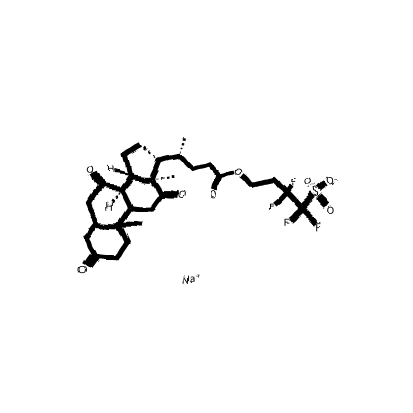 C[C@H](CCC(=O)OCCC(F)(F)C(F)(F)S(=O)(=O)[O-])[C@H]1CC[C@H]2[C@@H]3C(=O)CC4CC(=O)CCC4(C)C3CC(=O)[C@]12C.[Na+]